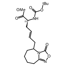 COC(=O)[C@H](CC=CCC1CCCCc2noc(=O)n21)NC(=O)OC(C)(C)C